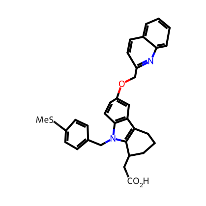 CSc1ccc(Cn2c3c(c4cc(OCc5ccc6ccccc6n5)ccc42)CCCC3CC(=O)O)cc1